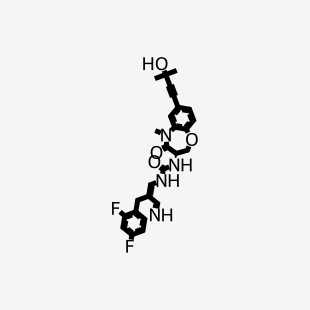 CN1C(=O)[C@@H](NC(=O)N/C=C(\C=N)Cc2ccc(F)cc2F)COc2ccc(C#CC(C)(C)O)cc21